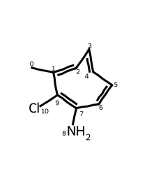 CC1=C\C=C\C=C/C(N)=C\1Cl